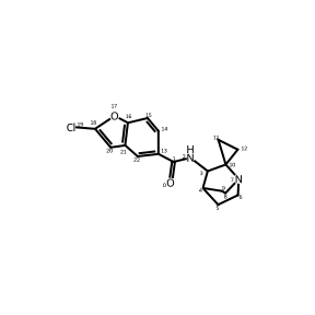 O=C(NC1C2CCN(CC2)C12CC2)c1ccc2oc(Cl)cc2c1